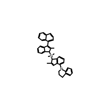 CC1=Cc2c(cccc2N2CCCc3ccccc32)C1[Si](C)(C)C1C(C)=C(c2cccc3ccccc23)c2ccccc21